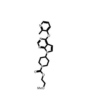 COCCOC(=O)N1CCC(n2ccc3c(Oc4cccnc4C)ncnc32)CC1